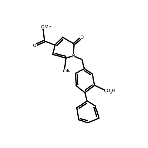 CCCCc1cc(C(=O)OC)cc(=O)n1Cc1ccc(-c2ccccc2)c(C(=O)O)c1